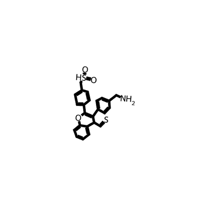 NCc1ccc(C2=C(c3ccc(C[SH](=O)=O)cc3)Oc3ccccc3C2C=S)cc1